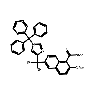 CNC(=O)c1c(OC)ccc2cc(C(O)(c3cn(C(c4ccccc4)(c4ccccc4)c4ccccc4)cn3)C(C)C)ccc12